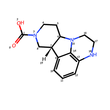 O=C(O)N1CCC2[C@@H](C1)c1cccc3c1N2CCN3